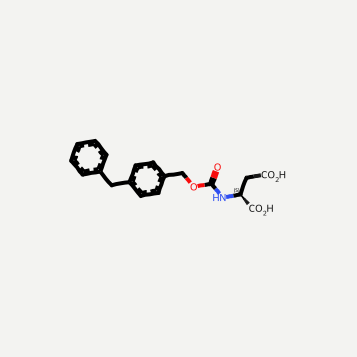 O=C(O)C[C@H](NC(=O)OCc1ccc(Cc2ccccc2)cc1)C(=O)O